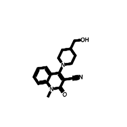 Cn1c(=O)c(C#N)c(N2CCC(CO)CC2)c2ccccc21